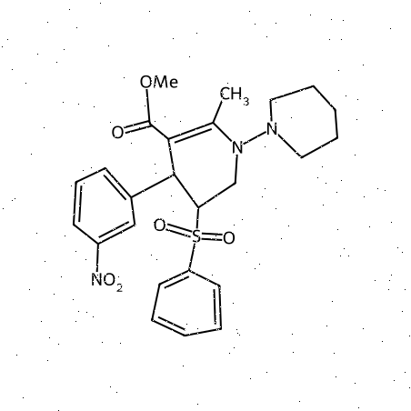 COC(=O)C1=C(C)N(N2CCCCC2)CC(S(=O)(=O)c2ccccc2)C1c1cccc([N+](=O)[O-])c1